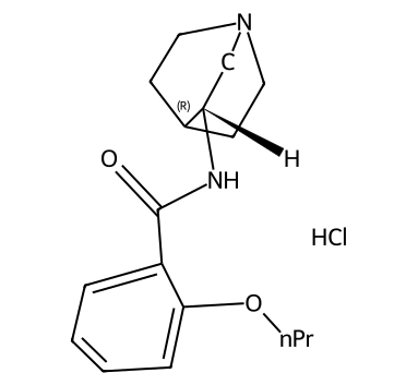 CCCOc1ccccc1C(=O)N[C@H]1CN2CCC1CC2.Cl